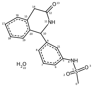 CS(=O)(=O)Nc1cccc(C2NC(=O)Cc3ccccc32)c1.O